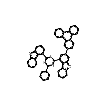 c1ccc(-c2nc(-c3cc(-c4ccc5c6ccccc6c6ccccc6c5c4)cc4oc5ccccc5c34)nc(-c3cccc4sc5ccccc5c34)n2)cc1